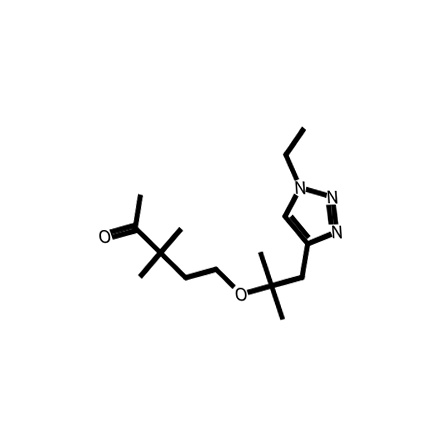 CCn1cc(CC(C)(C)OCCC(C)(C)C(C)=O)nn1